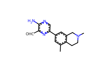 Cc1cc(-c2cnc(N)c(C=O)n2)cc2c1CCN(C)C2